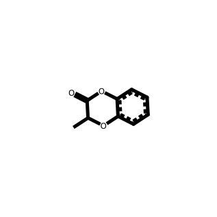 CC1Oc2ccccc2OC1=O